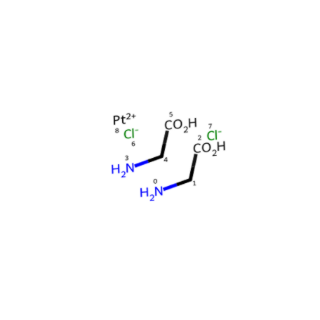 NCC(=O)O.NCC(=O)O.[Cl-].[Cl-].[Pt+2]